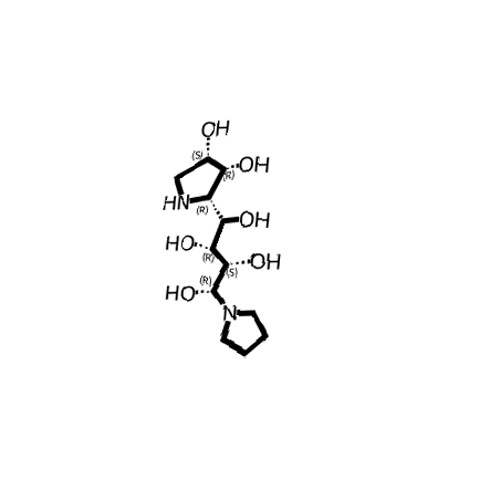 OC([C@@H](O)[C@H](O)[C@@H](O)N1CCCC1)[C@@H]1NC[C@H](O)[C@@H]1O